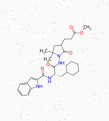 COC(=O)CCC1CC(C)(C)N(NC(=O)[C@H](CC2CCCCC2)NC(=O)c2cc3ccccc3[nH]2)C1=O